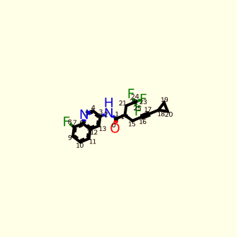 O=C(Nc1cnc2c(F)cccc2c1)C(CC#CC1CC1)CC(F)(F)F